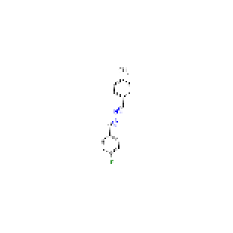 Cc1ccc(/C=N/N=C/c2ccc(F)cc2)cc1